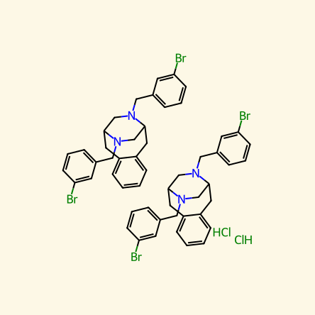 Brc1cccc(CN2CC3Cc4ccccc4CC2CN3Cc2cccc(Br)c2)c1.Brc1cccc(CN2CC3Cc4ccccc4CC2CN3Cc2cccc(Br)c2)c1.Cl.Cl